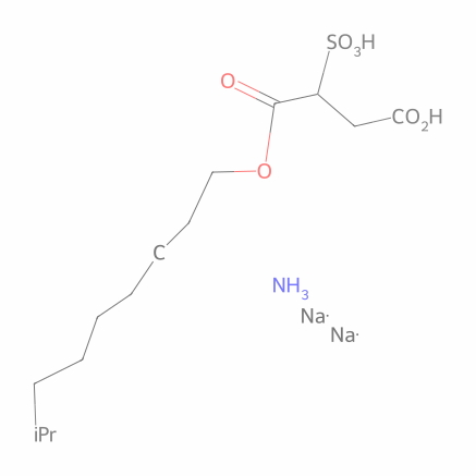 CC(C)CCCCCCCOC(=O)C(CC(=O)O)S(=O)(=O)O.N.[Na].[Na]